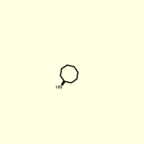 N=C1CCCCCCC1